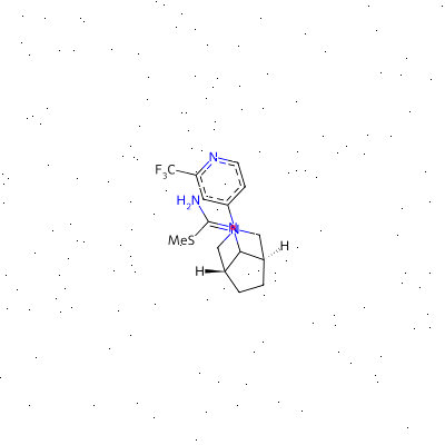 CS/C(N)=N\C1[C@@H]2CC[C@@H]1CN(c1ccnc(C(F)(F)F)c1)C2